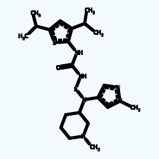 CC(C)c1cc(C(C)C)c(NC(=O)NSN(c2cnn(C)c2)C2CCCN(C)C2)s1